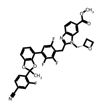 COC(=O)c1ccc2nc(Cc3c(F)cc(-c4cccc5c4OC(C)(c4ccc(C#N)cc4F)O5)c(F)c3F)n(C[C@@H]3CCO3)c2c1